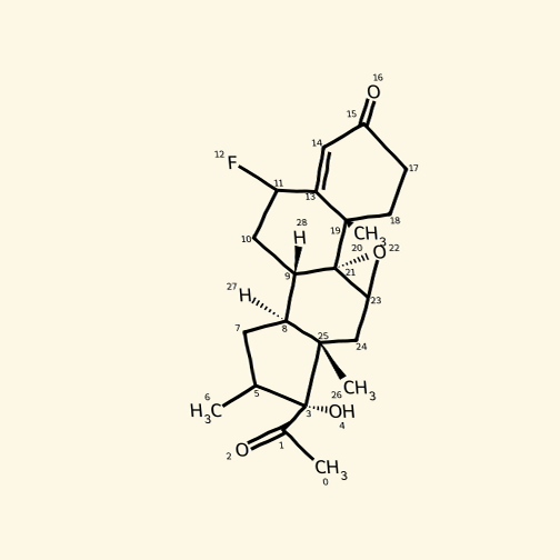 CC(=O)[C@@]1(O)C(C)C[C@H]2[C@@H]3CC(F)C4=CC(=O)CC[C@]4(C)[C@]34OC4C[C@@]21C